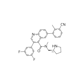 Cc1c(C#N)cccc1-c1ccc2ncc(-c3cc(F)cc(F)c3)c(C(=O)N(C)C[C@@H]3CCCN3)c2c1